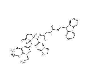 COc1cc([C@@H]2c3cc4c(cc3[C@H](OC(=O)CNC(=O)OCC3c5ccccc5-c5ccccc53)[C@H]3COC(=O)[C@@H]23)OCO4)cc(OC)c1OC